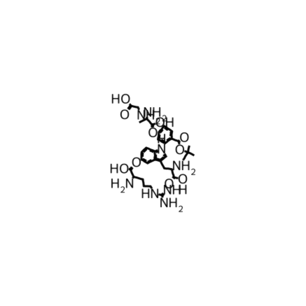 CC(C)(C)OC(=O)c1ccccc1.CC(N)C(=O)O.N=C(N)NCCCC(N)C(=O)O.NC(Cc1c[nH]c2ccccc12)C(=O)O.NCC(=O)O